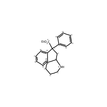 CCOC(=O)C(CC1CCCCN1)(c1ccccc1)c1ccccc1